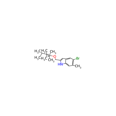 Cc1cc2[nH]c(CO[Si](C)(C)C(C)(C)C(C)C)cc2cc1Br